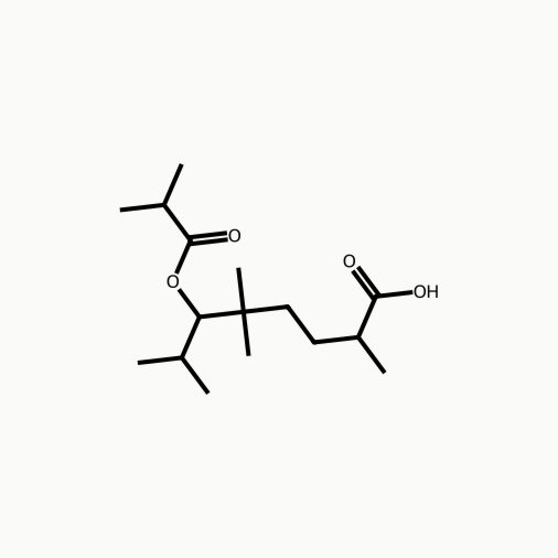 CC(C)C(=O)OC(C(C)C)C(C)(C)CCC(C)C(=O)O